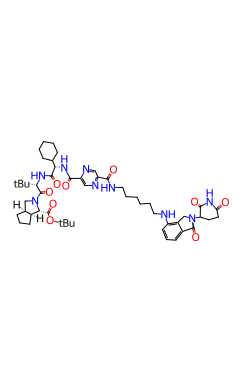 CC(C)(C)OC(=O)[C@@H]1[C@H]2CCC[C@H]2CN1C(=O)[C@@H](NC(=O)[C@@H](NC(=O)c1cnc(C(=O)NCCCCCCNc2cccc3c2CN(C2CCC(=O)NC2=O)C3=O)cn1)C1CCCCC1)C(C)(C)C